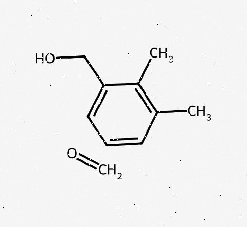 C=O.Cc1cccc(CO)c1C